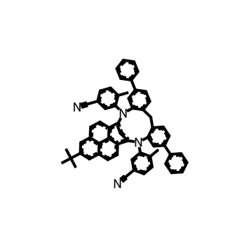 Cc1ccc(C#N)cc1N1c2cc(-c3ccccc3)ccc2Cc2ccc(-c3ccccc3)cc2N(c2cc(C#N)ccc2C)c2cc1c1ccc3cc(C(C)(C)C)cc4ccc2c1c34